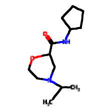 CC(C)N1CCOC(C(=O)NC2CCCC2)C1